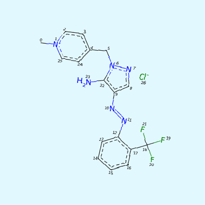 C[n+]1ccc(Cn2ncc(/N=N/c3ccccc3C(F)(F)F)c2N)cc1.[Cl-]